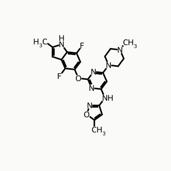 Cc1cc2c(F)c(Oc3nc(Nc4cc(C)on4)cc(N4CCN(C)CC4)n3)cc(F)c2[nH]1